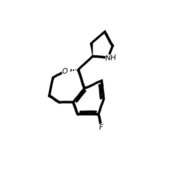 Fc1ccc2c(c1)CCCO[C@@H]2[C@H]1CCCN1